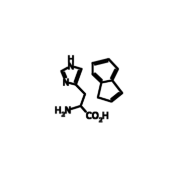 C1=Cc2ccccc2C1.NC(Cc1c[nH]cn1)C(=O)O